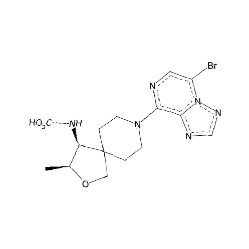 C[C@@H]1OCC2(CCN(c3ncc(Br)n4ncnc34)CC2)[C@@H]1NC(=O)O